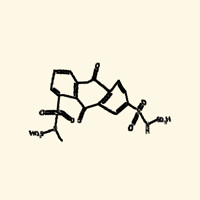 CN(S(=O)(=O)O)S(=O)(=O)c1cccc2c1C(=O)c1cc(S(=O)(=O)NS(=O)(=O)O)ccc1C2=O